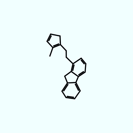 CC1=C(CCc2cccc3c2Cc2ccccc2-3)CC=C1